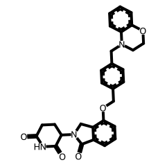 O=C1CCC(N2Cc3c(OCc4ccc(CN5CCOc6ccccc65)cc4)cccc3C2=O)C(=O)N1